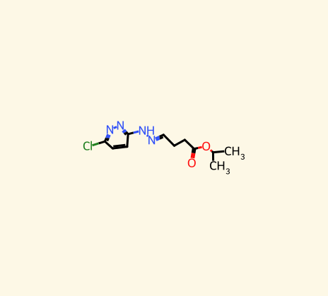 CC(C)OC(=O)CCC=NNc1ccc(Cl)nn1